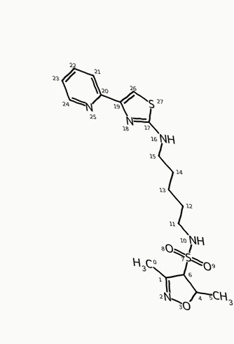 CC1=NOC(C)C1S(=O)(=O)NCCCCCNc1nc(-c2ccccn2)cs1